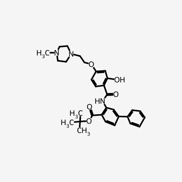 CN1CCN(CCOc2ccc(C(=O)Nc3cc(-c4ccccc4)ccc3C(=O)OC(C)(C)C)c(O)c2)CC1